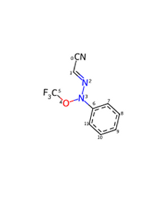 N#CC=NN(OC(F)(F)F)c1ccccc1